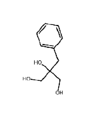 OCC(O)(CO)Cc1ccccc1